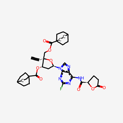 C#C[C@]1(COC(=O)C23CCC(CC2)CC3)O[C@@H](n2cnc3c(NC(=O)[C@H]4CCC(=O)O4)nc(F)nc32)C[C@@H]1OC(=O)C12CCC(CC1)CC2